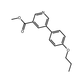 CCCOc1ccc(-c2cncc(C(=O)OC)c2)cc1